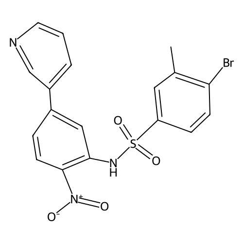 Cc1cc(S(=O)(=O)Nc2cc(-c3cccnc3)ccc2[N+](=O)[O-])ccc1Br